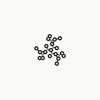 C1=CC2C(C=C1c1ccccc1)c1cc(N(c3ccccc3)c3cc(N(c4ccccc4)c4ccc5c(c4)c4cc(-c6ccccc6)ccc4n5-c4cccc5ccccc45)cc(N(c4ccccc4)c4ccc5c(c4)c4cc(-c6ccccc6)ccc4n5-c4cccc5ccccc45)c3)ccc1N2c1cccc2ccccc12